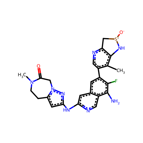 Cc1c(-c2cc3cc(Nc4cc5n(n4)CC(=O)N(C)CC5)ncc3c(N)c2F)cnc2c1N[S+]([O-])C2